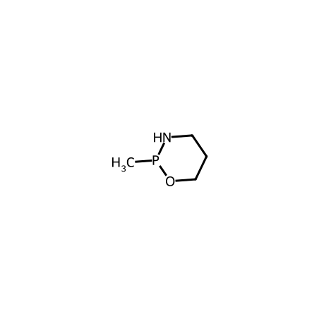 CP1NCCCO1